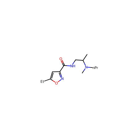 CCCN(C)C(C)CNC(=O)c1cc(CC)on1